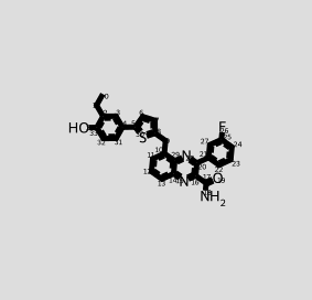 CCc1cc(-c2ccc(Cc3cccc4nc(C(N)=O)c(-c5cccc(F)c5)nc34)s2)ccc1O